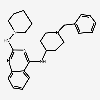 c1ccc(CN2CCC(Nc3nc(NN4CCCCC4)nc4ccccc34)CC2)cc1